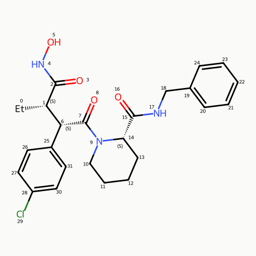 CC[C@H](C(=O)NO)[C@H](C(=O)N1CCCC[C@H]1C(=O)NCc1ccccc1)c1ccc(Cl)cc1